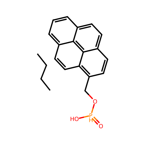 CCCC.O=[PH](O)OCc1ccc2ccc3cccc4ccc1c2c34